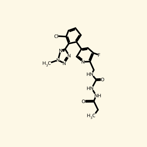 CCC(=O)NNC(=O)NCc1ncc(-c2cccc(Cl)c2-c2nnn(C)n2)cc1F